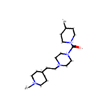 CC(C)C1CCN(C(=O)N2CCN(CCC3CCN(C(C)C)CC3)CC2)CC1